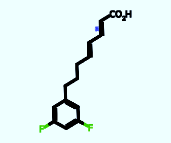 O=C(O)/C=C/C=CCCCc1cc(F)cc(F)c1